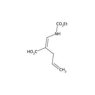 C=CCC(=CNC(=O)OCC)C(=O)O